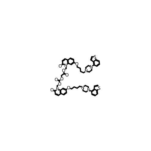 O=C(COC(=O)OCn1c(=O)ccc2ccc(OCCCCN3CCN(c4cccc5sccc45)CC3)cc21)OCn1c(=O)ccc2ccc(OCCCCN3CCN(c4cccc5sccc45)CC3)cc21